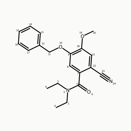 CCN(CC)C(=O)c1cc(OCc2ccccc2)c(OC)cc1C#N